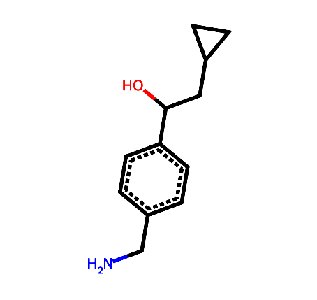 NCc1ccc(C(O)CC2CC2)cc1